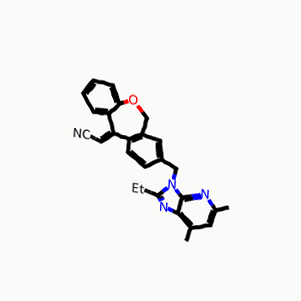 CCc1nc2c(C)cc(C)nc2n1Cc1ccc2c(c1)COc1ccccc1C2=CC#N